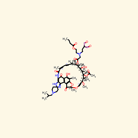 CCCC(=O)OCCN(CCC(P=O)P=O)CC(=O)O[C@@H]1[C@@H](C)[C@@H](O)[C@@H](C)[C@H](OC(C)=O)[C@H](C)[C@@H](OC)/C=C/O[C@@]2(C)Oc3c(C)c(O)c4c(c3C2=O)C2=NC3(CCN(CC(C)C)CC3)NC2=C(NC(=O)/C(C)=C\C=C\[C@@H]1C)C4=O